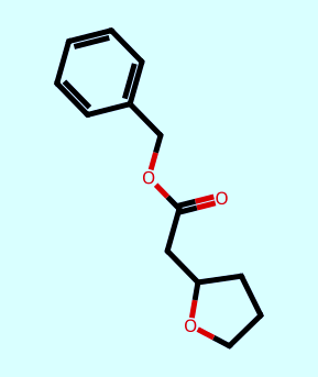 O=C(CC1CCCO1)OCc1ccccc1